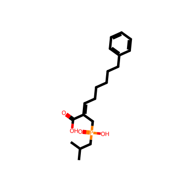 CC(C)CP(=O)(O)C/C(=C\CCCCCc1ccccc1)C(=O)O